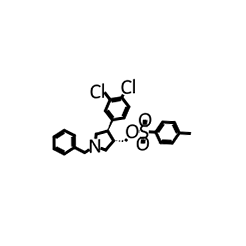 Cc1ccc(S(=O)(=O)OC[C@@H]2CN(Cc3ccccc3)C[C@H]2c2ccc(Cl)c(Cl)c2)cc1